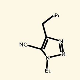 CCn1nnc(CC(C)C)c1C#N